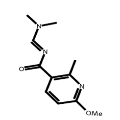 COc1ccc(C(=O)N=CN(C)C)c(C)n1